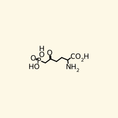 NC(CCC(=O)CP(=O)(O)O)C(=O)O